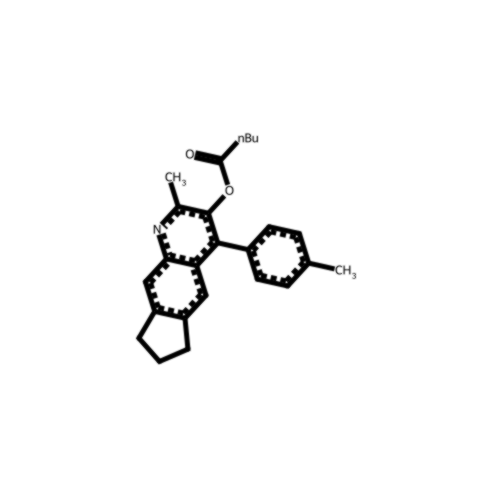 CCCCC(=O)Oc1c(C)nc2cc3c(cc2c1-c1ccc(C)cc1)CCC3